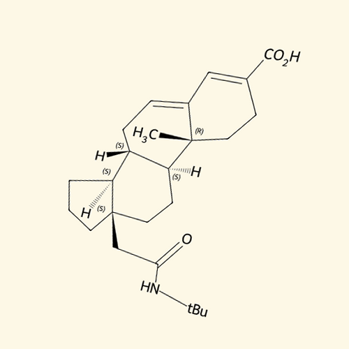 CC(C)(C)NC(=O)C[C@@]12CCC[C@H]1[C@@H]1CC=C3C=C(C(=O)O)CC[C@]3(C)[C@H]1CC2